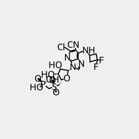 N#Cc1c(Cl)nc2c(ncn2[C@@H]2O[C@H](CS(=O)(=O)CP(=O)(O)O)[C@@H](O)[C@H]2O)c1NC1CC(F)(F)C1